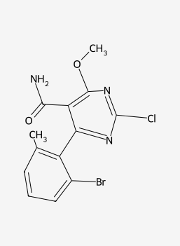 COc1nc(Cl)nc(-c2c(C)cccc2Br)c1C(N)=O